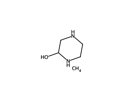 C.OC1CNCCN1